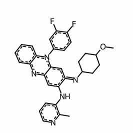 COC1CCC(/N=c2\cc3n(-c4ccc(F)c(F)c4)c4ccccc4nc-3cc2Nc2cccnc2C)CC1